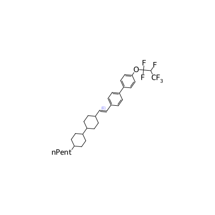 CCCCCC1CCC(C2CCC(/C=C/c3ccc(-c4ccc(OC(F)(F)C(F)C(F)(F)F)cc4)cc3)CC2)CC1